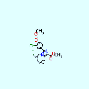 COCOc1ccc(-c2nc(C(=O)OC)c3n2C[C@@H](CF)CCCC3)cc1Cl